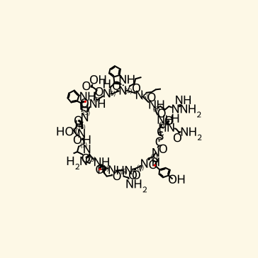 CCCC[C@H]1C(=O)N(C)[C@@H](CCCC)C(=O)N[C@@H](CCCNC(=N)N)C(=O)N[C@H](C(=O)NCC(N)=O)CSCC(=O)N[C@@H](CCc2ccc(O)cc2)C(=O)N(C)[C@@H](C)C(=O)N[C@@H](CC(N)=O)C(=O)N2CCC[C@H]2C(=O)N[C@@H](CN)C(=O)N[C@@H](CC(C)C)C(=O)N2C[C@H](O)C[C@H]2C(=O)N[C@@H](Cc2c[nH]c3ccccc23)C(=O)N[C@@H](CCC(=O)O)C(=O)N[C@@H](Cc2c[nH]c3ccccc23)C(=O)N1C